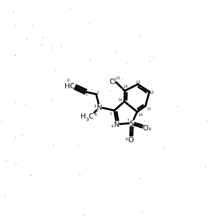 C#CCN(C)C1=NS(=O)(=O)c2cccc(Cl)c21